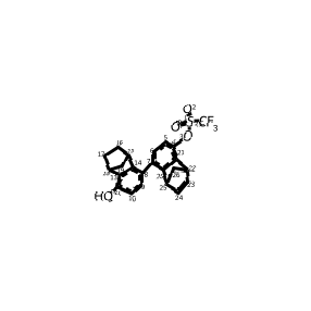 O=S(=O)(Oc1ccc(-c2ccc(O)c3c2C2CCC3C2)c2c1C1C=CC2C1)C(F)(F)F